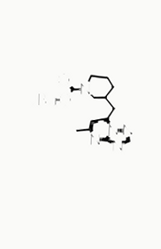 Cc1cc(CC2CCCN(C(=O)OC(C)(C)C)C2)n2ncnc2n1